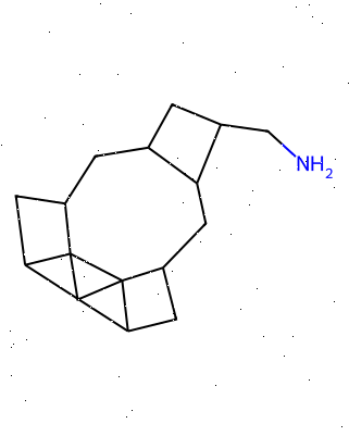 NCC1CC2CC3CC4C5CC(CC12)C51CC341